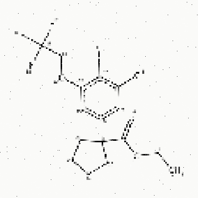 CCOC(=O)C1(c2cc(Cl)c(I)c(OCC(F)(F)F)c2)CCCC1